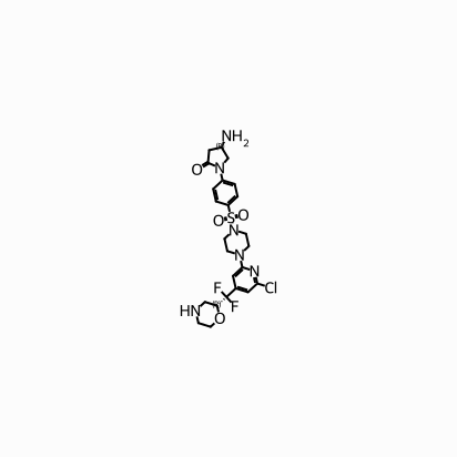 N[C@@H]1CC(=O)N(c2ccc(S(=O)(=O)N3CCN(c4cc(C(F)(F)[C@H]5CNCCO5)cc(Cl)n4)CC3)cc2)C1